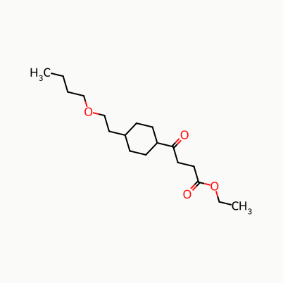 CCCCOCCC1CCC(C(=O)CCC(=O)OCC)CC1